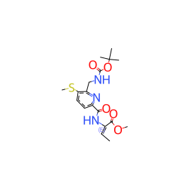 C/C=C(/NC(=O)c1ccc(SC)c(CNC(=O)OC(C)(C)C)n1)C(=O)OC